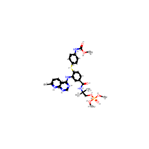 CC(C)c1ccc2c(Nc3cc(C(=O)NC(C)(C)COP(=O)(OC(C)(C)C)OC(C)(C)C)ccc3Sc3ccc(NC(=O)OC(C)(C)C)cc3)ncnc2n1